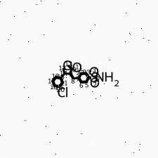 NS(=O)(=O)c1ccc(/C=C2\C(=O)OCC2c2cccc(Cl)c2)cc1